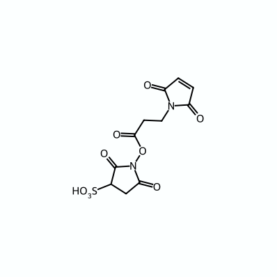 O=C(CCN1C(=O)C=CC1=O)ON1C(=O)CC(S(=O)(=O)O)C1=O